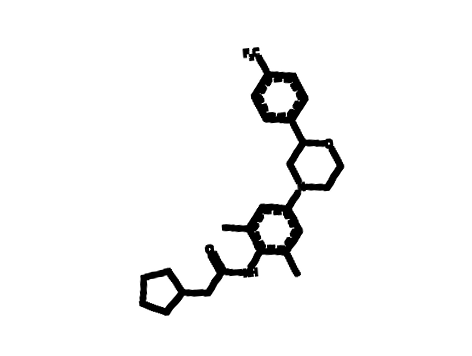 Cc1cc(N2CCOC(c3ccc(C(F)(F)F)cc3)C2)cc(C)c1NC(=O)CC1CCCC1